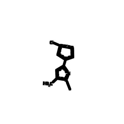 Cn1nc(-c2cccc(Cl)c2)cc1C(=O)O